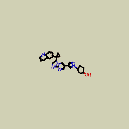 OC1CCC(n2cc(C3=CN4C(=NCC4C4(c5ccc6ncccc6c5)CC4)N=C3)cn2)CC1